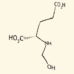 O=C(O)CC[C@H](NCO)C(=O)O